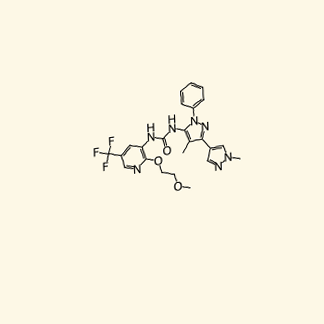 COCCOc1ncc(C(F)(F)F)cc1NC(=O)Nc1c(C)c(-c2cnn(C)c2)nn1-c1ccccc1